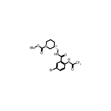 CC(C)(C)OC(=O)N1CCC[C@H](CNC(=O)c2cc(Br)ccc2NC(=O)C(F)(F)F)C1